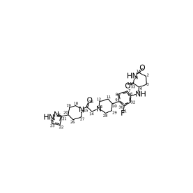 O=C1CCC(Nc2ccc(C3CCN(CC(=O)N4CCC(c5cc[nH]n5)CC4)CC3)c(F)c2)C(=O)N1